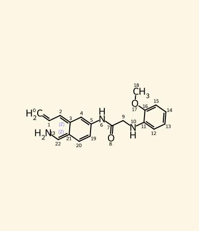 C=C/C=c1/cc(NC(=O)CNc2ccccc2OC)cc/c1=C/N